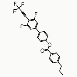 CCCc1ccc(C(=O)Oc2ccc(-c3cc(F)c(C#CC(F)(F)F)c(F)c3)cc2)cc1